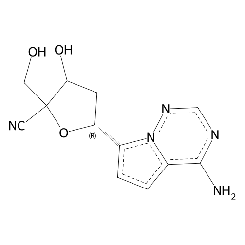 N#CC1(CO)O[C@@H](c2ccc3c(N)ncnn23)CC1O